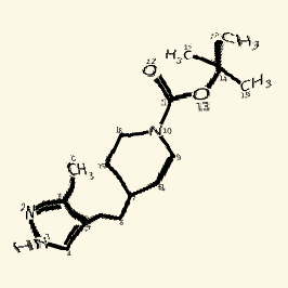 Cc1n[nH]cc1CC1CCN(C(=O)OC(C)(C)C)CC1